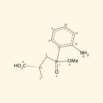 COP(=O)(C[C@H](C)C(=O)O)c1ccccc1N